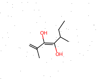 C=C(C)C(O)=C(O)C(C)CC